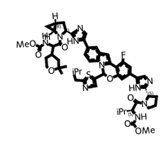 COC(=O)NC(C(=O)N1[C@@H]2C[C@@H]2C[C@H]1c1ncc(-c2ccc3c(c2)cc2n3C(c3cnc(CC(C)C)s3)Oc3cc(-c4cnc([C@@H]5CCCN5C(=O)[C@@H](NC(=O)OC)C(C)C)[nH]4)cc(F)c3-2)[nH]1)C1CCOC(C)(C)C1